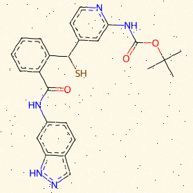 CC(C)(C)OC(=O)Nc1cc(C(S)c2ccccc2C(=O)Nc2ccc3cn[nH]c3c2)ccn1